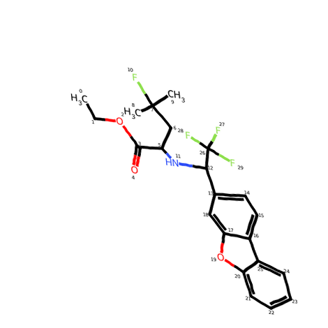 CCOC(=O)C(CC(C)(C)F)NC(c1ccc2c(c1)oc1ccccc12)C(F)(F)F